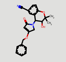 CC1(C)Oc2ccc(C#N)cc2C(N2CC(OCc3ccccc3)=CC2=O)C1O